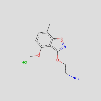 COc1ccc(C)c2onc(OCCN)c12.Cl